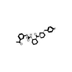 CC(=O)c1cccc(NC(=O)N[C@H]2CCCC[C@@H]2C(=O)N2CCC[C@@H](Cc3ccc(F)cc3)C2)c1